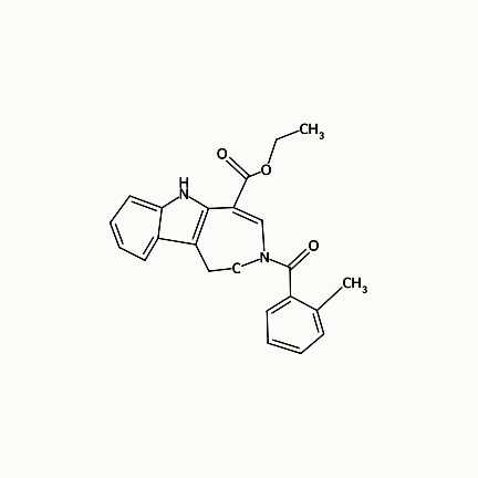 CCOC(=O)C1=CN(C(=O)c2ccccc2C)CCc2c1[nH]c1ccccc21